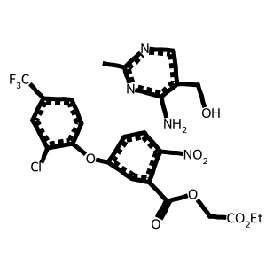 CCOC(=O)COC(=O)c1cc(Oc2ccc(C(F)(F)F)cc2Cl)ccc1[N+](=O)[O-].Cc1ncc(CO)c(N)n1